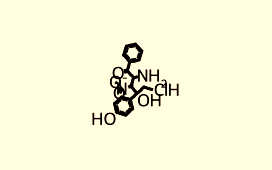 CCC(O)(c1ccc(O)cc1)C(C(N)C(=O)c1ccccc1)[N+](=O)[O-].Cl